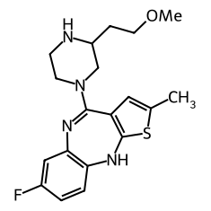 COCCC1CN(C2=Nc3cc(F)ccc3Nc3sc(C)cc32)CCN1